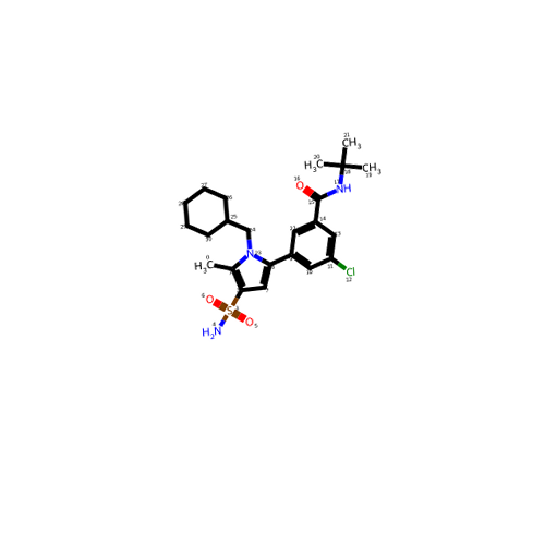 Cc1c(S(N)(=O)=O)cc(-c2cc(Cl)cc(C(=O)NC(C)(C)C)c2)n1CC1CCCCC1